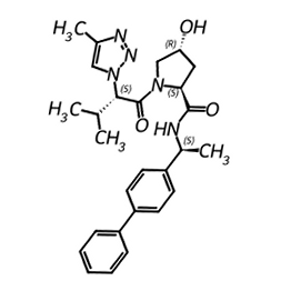 Cc1cn([C@H](C(=O)N2C[C@H](O)C[C@H]2C(=O)N[C@@H](C)c2ccc(-c3ccccc3)cc2)C(C)C)nn1